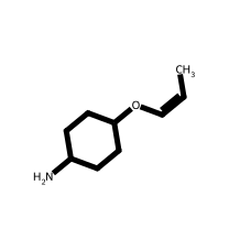 C/C=C\OC1CCC(N)CC1